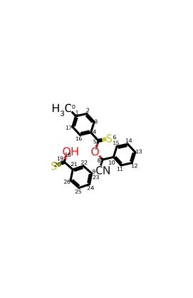 Cc1ccc(C(=S)OC(C#N)c2ccccc2)cc1.OC(=S)c1ccccc1